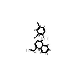 Cc1ccc(Nc2ccc(C=N)c3ccccc23)c(C)c1